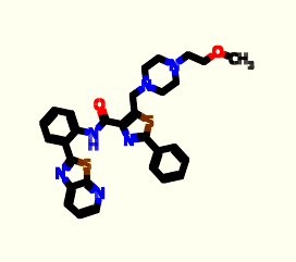 COCCN1CCN(Cc2sc(-c3ccccc3)nc2C(=O)Nc2ccccc2-c2nc3cccnc3s2)CC1